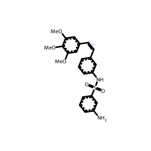 COc1cc(/C=C\c2cccc(NS(=O)(=O)c3cccc(N)c3)c2)cc(OC)c1OC